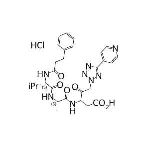 CC(C)[C@H](NC(=O)CCc1ccccc1)C(=O)N[C@@H](C)C(=O)NC(CC(=O)O)C(=O)Cn1nnc(-c2ccncc2)n1.Cl